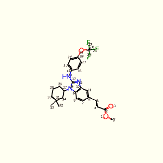 COC(=O)CCc1ccc2c(c1)nc(Nc1ccc(OC(F)(F)F)cc1)n2C1CCCC(C)(C)C1